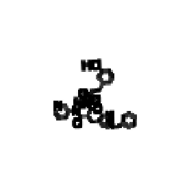 CCN(C(=O)C(Cc1cnn(Cc2ccccc2)c1)C(=O)NS(=O)(=O)C=Cc1ccccc1)c1cccnc1.Cl